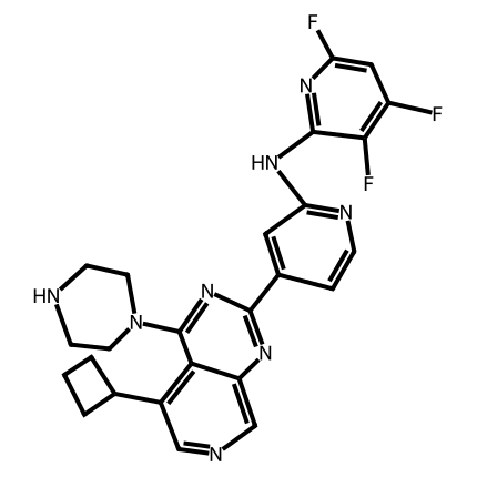 Fc1cc(F)c(F)c(Nc2cc(-c3nc(N4CCNCC4)c4c(C5CCC5)cncc4n3)ccn2)n1